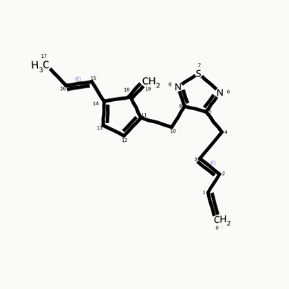 C=C/C=C/Cc1nsnc1CC1=CC=C(/C=C/C)C1=C